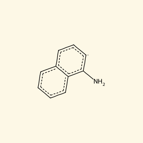 Nc1[c]ccc2ccccc12